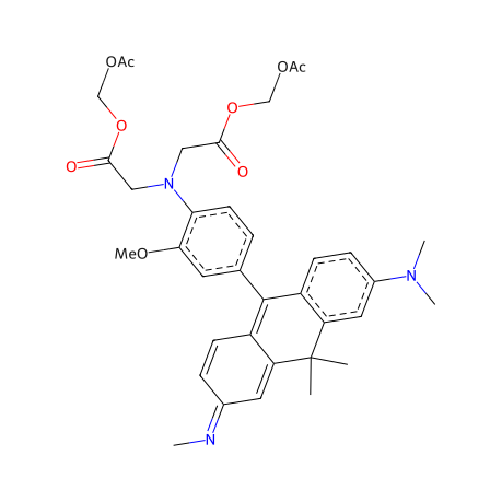 CN=C1C=CC2=C(c3ccc(N(CC(=O)OCOC(C)=O)CC(=O)OCOC(C)=O)c(OC)c3)c3ccc(N(C)C)cc3C(C)(C)C2=C1